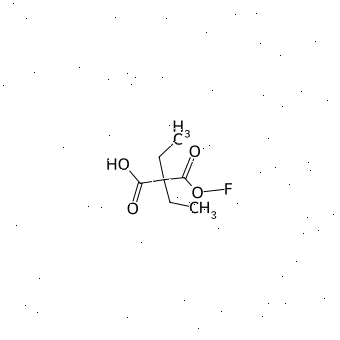 CCC(CC)(C(=O)O)C(=O)OF